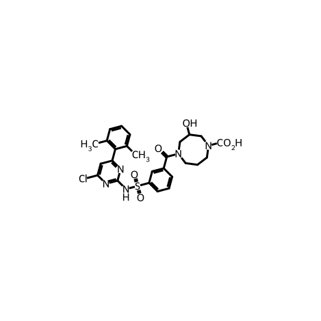 Cc1cccc(C)c1-c1cc(Cl)nc(NS(=O)(=O)c2cccc(C(=O)N3CCCN(C(=O)O)CC(O)C3)c2)n1